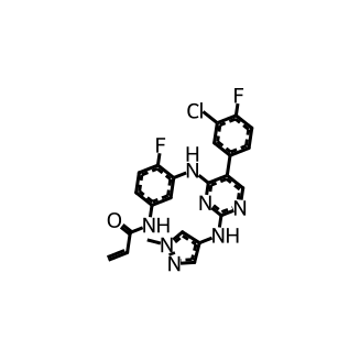 C=CC(=O)Nc1ccc(F)c(Nc2nc(Nc3cnn(C)c3)ncc2-c2ccc(F)c(Cl)c2)c1